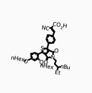 CCCCCCOc1ccc(-c2sc(-c3ccc(/C=C(\C#N)C(=O)O)cc3)c3c2C(=O)N(CCC(CC)CCCC)C3=O)c(OCCCCCC)c1